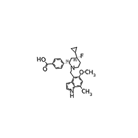 COc1cc(C)c2[nH]ccc2c1CN1CC[C@](F)(C2CC2)C[C@H]1c1ccc(C(=O)O)cc1